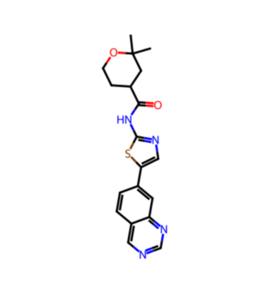 CC1(C)CC(C(=O)Nc2ncc(-c3ccc4cncnc4c3)s2)CCO1